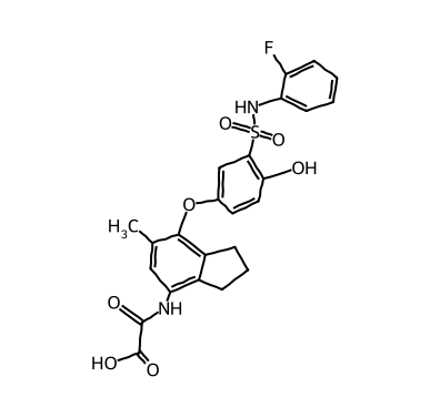 Cc1cc(NC(=O)C(=O)O)c2c(c1Oc1ccc(O)c(S(=O)(=O)Nc3ccccc3F)c1)CCC2